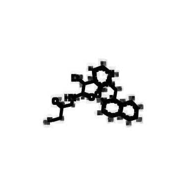 CCC(C(=O)NCC(=O)CF)c1ccnn(Cc2nccc3ccccc23)c1=O